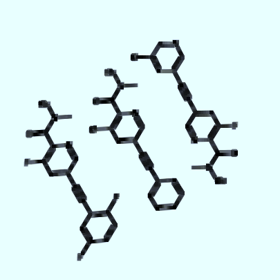 CN(C(=O)c1ncc(C#Cc2cc(F)ccc2F)cc1F)C(C)(C)C.CN(C(=O)c1ncc(C#Cc2ccccc2)cc1Cl)C(C)(C)C.CN(C(=O)c1ncc(C#Cc2cncc(Cl)c2)cc1F)C(C)(C)C